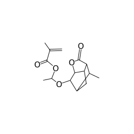 C=C(C)C(=O)OC(C)OC1C2CC3C1OC(=O)C3C2C